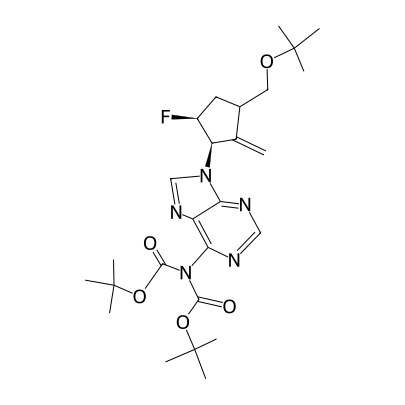 C=C1C(COC(C)(C)C)C[C@H](F)[C@@H]1n1cnc2c(N(C(=O)OC(C)(C)C)C(=O)OC(C)(C)C)ncnc21